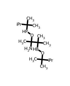 CC(C)C(C)(C)OBC(C)(C)C(C)(N)OPC(C)(C)C(C)C